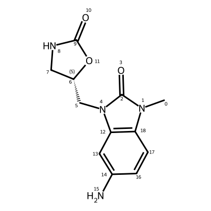 Cn1c(=O)n(C[C@@H]2CNC(=O)O2)c2cc(N)ccc21